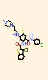 CN1CCN(CCCNc2cc(NC(=O)c3sc4ccccc4c3Cl)c(C(=O)Nc3ccc(Cl)cc3)cc2F)CC1